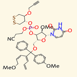 C#CCO[C@@H]1CSSC[C@H]1OP(=O)(OCCC#N)OC1[C@@H](OC)[C@H](n2ccc(=O)[nH]c2=O)O[C@@H]1COC(C(/C=C\COC)=C/C=C)(c1ccccc1)c1ccc(OC)cc1